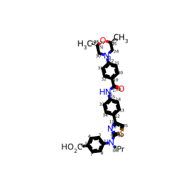 CC(C)N(c1ccc(C(=O)O)cc1)c1nc(-c2ccc(NC(=O)c3ccc(N4C[C@@H](C)O[C@@H](C)C4)cc3)cc2)cs1